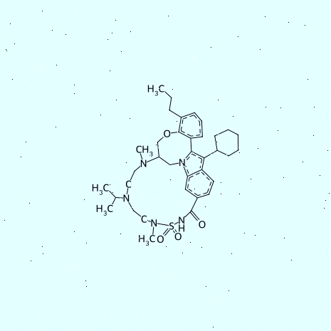 CCCc1cccc2c1OCC1Cn3c-2c(C2CCCCC2)c2ccc(cc23)C(=O)NS(=O)(=O)N(C)CCN(C(C)C)CCN1C